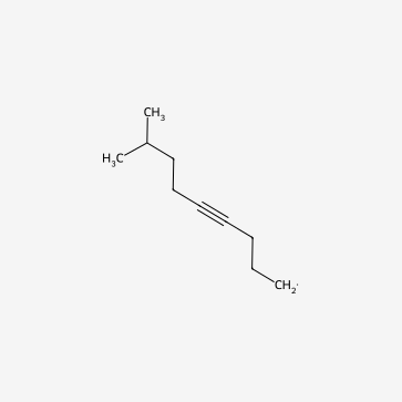 [CH2]CCC#CCCC(C)C